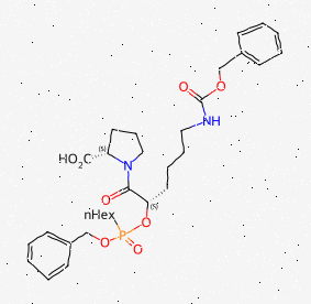 CCCCCCP(=O)(OCc1ccccc1)O[C@@H](CCCCNC(=O)OCc1ccccc1)C(=O)N1CCC[C@H]1C(=O)O